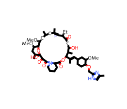 CCC1/C=C(\C)CC(C)CC(OC)C2OC(O)(C(=O)C(=O)N3CCCCC3C(=O)OC(C(C)=CC3CCC(OCc4nc(C)c[nH]4)C(OC)C3)C(C)C(O)CC1=O)C(C)CC2OC